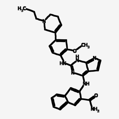 CCCN1CCC=C(c2ccc(Nc3nc(Nc4cc5ccccc5cc4C(N)=O)c4ccnc-4[nH]3)c(OC)c2)C1